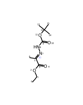 CCOC(=O)/C(C)=N/NC(=O)OC(C)(C)C